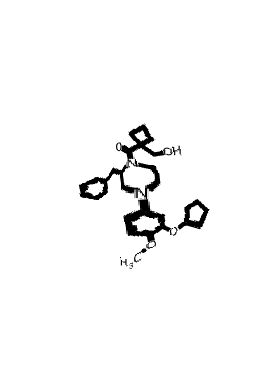 COc1ccc(N2CCN(C(=O)C3(CO)CCC3)C(Cc3ccccc3)C2)cc1OC1CCCC1